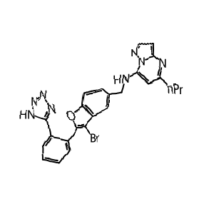 CCCc1cc(NCc2ccc3oc(-c4ccccc4-c4nnn[nH]4)c(Br)c3c2)n2nccc2n1